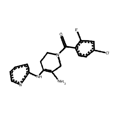 NC1=C(Nc2ccccn2)CCN(C(=O)c2ccc(Cl)cc2F)C1